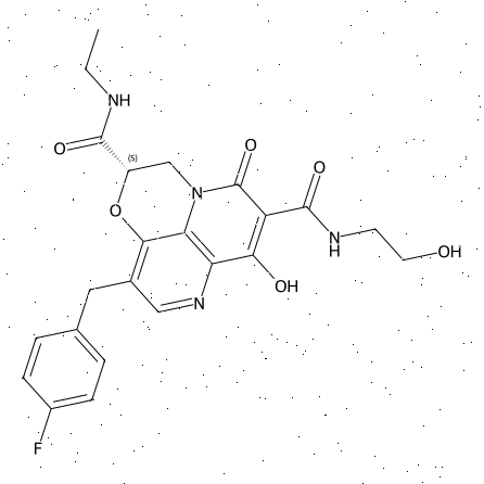 CCNC(=O)[C@@H]1Cn2c(=O)c(C(=O)NCCO)c(O)c3ncc(Cc4ccc(F)cc4)c(c32)O1